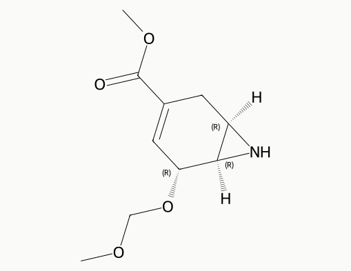 COCO[C@@H]1C=C(C(=O)OC)C[C@H]2N[C@H]21